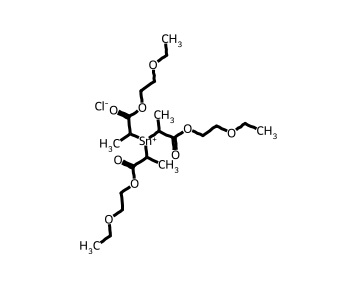 CCOCCOC(=O)[CH](C)[Sn+]([CH](C)C(=O)OCCOCC)[CH](C)C(=O)OCCOCC.[Cl-]